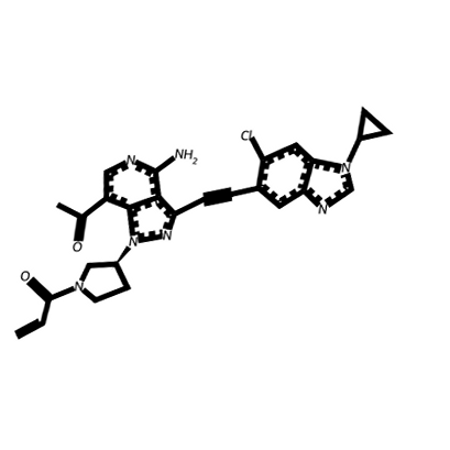 C=CC(=O)N1CC[C@H](n2nc(C#Cc3cc4ncn(C5CC5)c4cc3Cl)c3c(N)ncc(C(C)=O)c32)C1